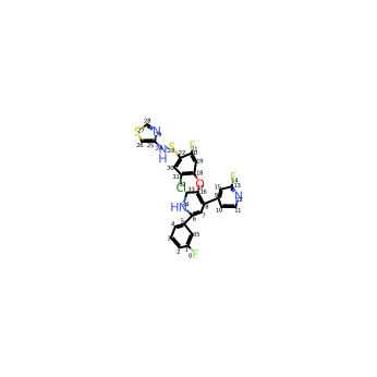 Fc1cccc(C2=CC(c3ccnc(F)c3)=C(Oc3cc(F)c(SNc4cscn4)cc3Cl)CN2)c1